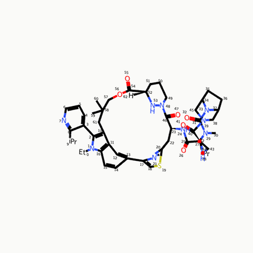 CCn1c(-c2cccnc2C(C)C)c2c3cc(ccc31)-c1csc(n1)C[C@H](NC(=O)[C@H](C(C)C)N(C)C(=O)N1C3CCC1CN(C(=O)[C@H]1CN1)C3)C(=O)N1CCC[C@H](N1)C(=O)OCC(C)(C)C2